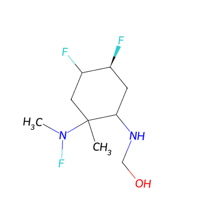 CN(F)C1(C)CC(F)[C@@H](F)CC1NCO